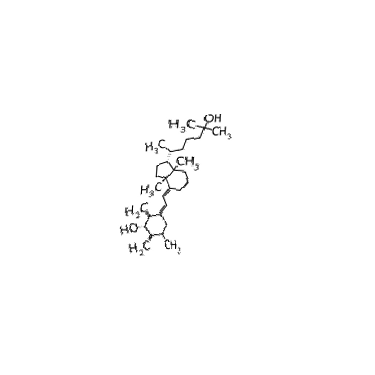 C=C1/C(=C\C=C2/CCCC3(C)[C@@H](C(C)CCCC(C)(C)O)CC[C@@]23C)C[C@@H](C)C(=C)[C@@H]1O